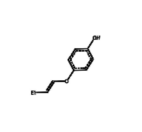 CCC=COc1ccc(O)cc1